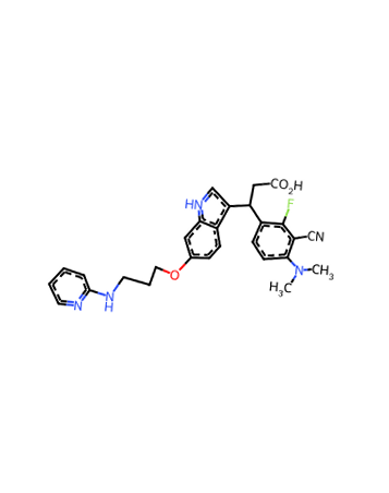 CN(C)c1ccc(C(CC(=O)O)c2c[nH]c3cc(OCCCNc4ccccn4)ccc23)c(F)c1C#N